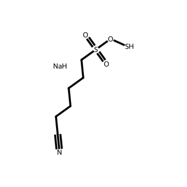 N#CCCCCCS(=O)(=O)OS.[NaH]